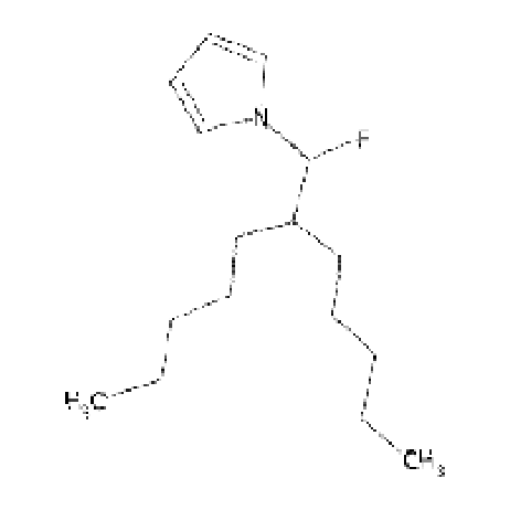 CCCCCC(CCCCC)C(F)n1cccc1